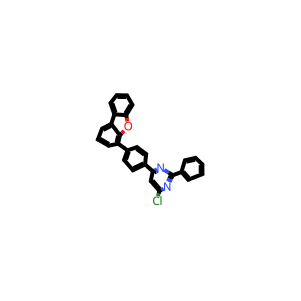 Clc1cc(-c2ccc(-c3cccc4c3oc3ccccc34)cc2)nc(-c2ccccc2)n1